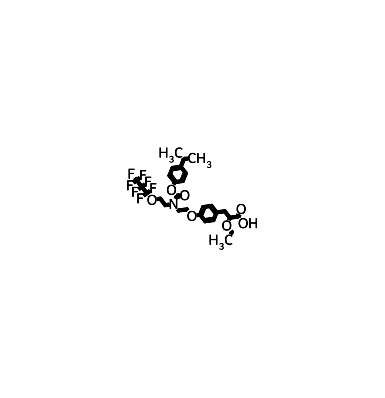 CCOC(Cc1ccc(OCCN(CCOC(F)(F)C(F)(F)C(F)(F)F)C(=O)Oc2ccc(C(C)C)cc2)cc1)C(=O)O